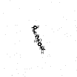 Cc1nc(-c2ccc(NC(=O)c3cnc(N4CC(Oc5cc(F)ccc5C)C4)cn3)cc2)n[nH]1